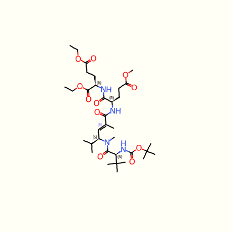 CCOC(=O)CC[C@@H](NC(=O)[C@@H](CCC(=O)OC)NC(=O)/C(C)=C/[C@H](C(C)C)N(C)C(=O)[C@@H](NC(=O)OC(C)(C)C)C(C)(C)C)C(=O)OCC